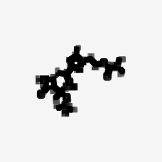 Cc1cc(C(=O)C[C@H]2NC(=O)[C@@H]2[C@@](C)(O[SiH](C)C)C(C)(C)C)nn1CCOC(=O)N(C)C